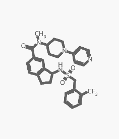 CN(C(=O)c1ccc2c(c1)C(NS(=O)(=O)Cc1ccccc1C(F)(F)F)CC2)C1CCN(c2ccncc2)CC1